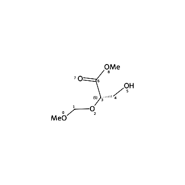 COCO[C@@H](CO)C(=O)OC